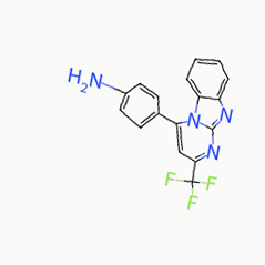 Nc1ccc(-c2cc(C(F)(F)F)nc3nc4ccccc4n23)cc1